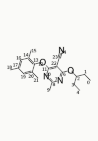 CCC(CC)Oc1nc(C)nc(Oc2c(C)cc(C)cc2C)c1C#N